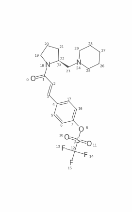 O=C(C=Cc1ccc(OS(=O)(=O)C(F)(F)F)cc1)N1CCC[C@H]1CN1CCCCC1